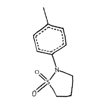 Cc1ccc(N2CCCS2(=O)=O)cc1